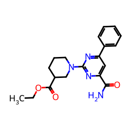 CCOC(=O)C1CCCN(c2nc(C(N)=O)cc(-c3ccccc3)n2)C1